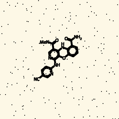 CNC(=O)c1cnc(Nc2ccc(C#N)cn2)c2c1Nc1c(cccc1C(N)=O)O2